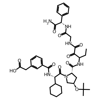 CCC(NC(=O)[C@@H]1C[C@@H](OC(C)(C)C)CN1C(=O)[C@@H](NC(=O)c1cccc(CC(=O)O)c1)C1CCCCC1)C(=O)C(=O)NCC(=O)N[C@H](C(N)=O)c1ccccc1